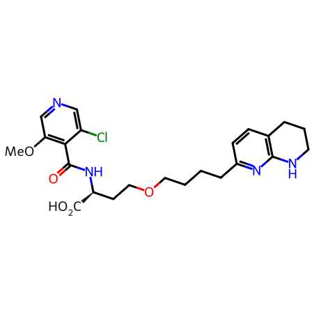 COc1cncc(Cl)c1C(=O)N[C@@H](CCOCCCCc1ccc2c(n1)NCCC2)C(=O)O